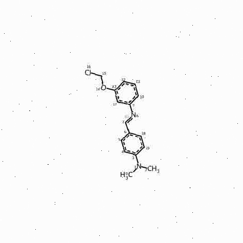 CN(C)c1ccc(/C=N/c2cccc(OCCl)c2)cc1